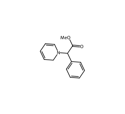 COC(=O)C(c1ccccc1)N1C=CC=CC1